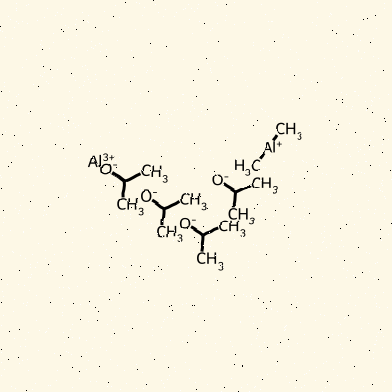 CC(C)[O-].CC(C)[O-].CC(C)[O-].CC(C)[O-].[Al+3].[CH3][Al+][CH3]